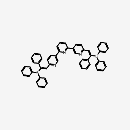 C(=C(\B(c1ccccc1)c1ccccc1)c1ccccc1)/c1ccc(-c2cccc(-c3ccc(/C=C(/B(c4ccccc4)c4ccccc4)c4ccccc4)nc3)n2)cn1